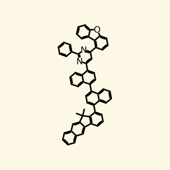 CC1(C)c2cc3ccccc3cc2-c2cccc(-c3ccc(-c4ccc(-c5cc(-c6cccc7oc8ccccc8c67)nc(-c6ccccc6)n5)c5ccccc45)c4ccccc34)c21